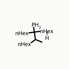 CCCCCCC(C)C(P)(CCCCCC)CCCCCC.I